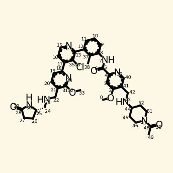 COc1cc(C(=O)Nc2cccc(-c3nccc(-c4ccc(CNC[C@@H]5CCC(=O)N5)c(OC)n4)c3Cl)c2C)ncc1CNC1CCN(C(C)=O)CC1